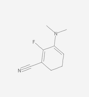 CN(C)C1=CCCC(C#N)=C1F